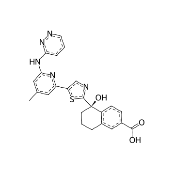 Cc1cc(Nc2cccnn2)nc(-c2cnc([C@@]3(O)CCCc4cc(C(=O)O)ccc43)s2)c1